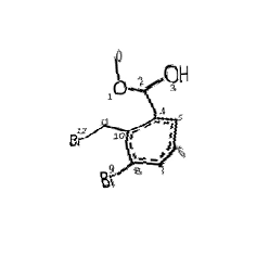 COC(O)c1cccc(Br)c1CBr